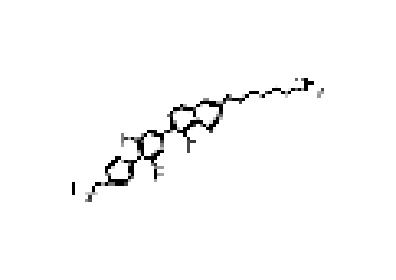 CCCCCCCc1ccc2c(F)c(-c3cc(F)c(-c4ccc(C)cc4)c(F)c3)ccc2c1